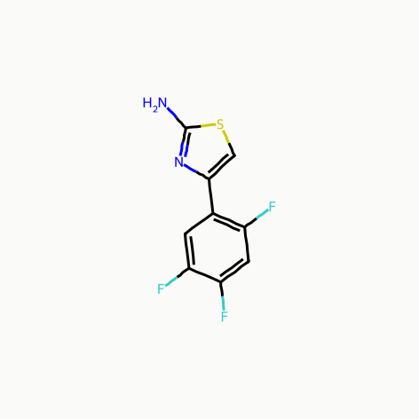 Nc1nc(-c2cc(F)c(F)cc2F)cs1